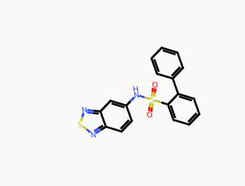 O=S(=O)(Nc1ccc2nsnc2c1)c1ccccc1-c1ccccc1